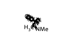 CNCCN(C)Cc1nn2c(c1C1CCC3(CCOCC3)CC1)CCC2